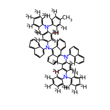 [2H]c1c([2H])c([2H])c(N(c2c([2H])c([2H])c([2H])c([2H])c2[2H])c2c([2H])c([2H])c(N(c3cccc4ccccc34)c3c4ccccc4c(N(c4c([2H])c([2H])c(N(c5c([2H])c([2H])c([2H])c([2H])c5[2H])c5c([2H])c([2H])c(C)c([2H])c5[2H])c([2H])c4[2H])c4cccc5ccccc45)c4ccccc34)c([2H])c2[2H])c([2H])c1[2H]